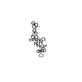 C#C[C@]1(CO)O[C@@H](n2cnc3c(NC(=O)OC(C)(C)CC(=O)OCc4oc(=O)oc4C)nc(Cl)nc32)C[C@@H]1OC(=O)C1CCCCC1